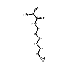 CCCC(CCC)C(=O)NCCSSCCO